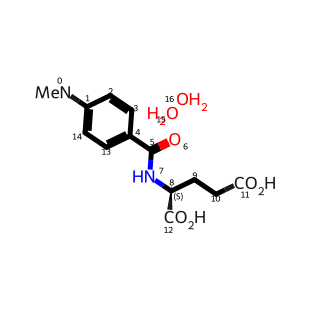 CNc1ccc(C(=O)N[C@@H](CCC(=O)O)C(=O)O)cc1.O.O